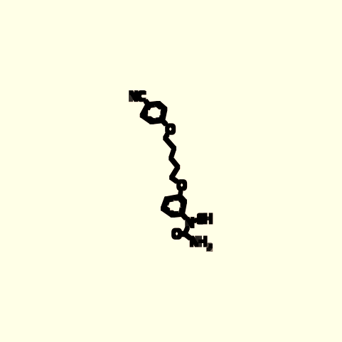 N#Cc1ccc(OCCCCCOc2cccc(N(S)C(N)=O)c2)cc1